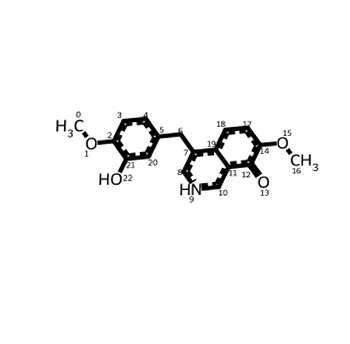 COc1ccc(Cc2c[nH]cc3c(=O)c(OC)ccc2-3)cc1O